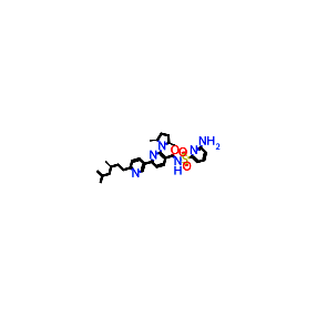 CC(C)C[C@@H](C)CCc1ccc(-c2ccc(C(=O)NS(=O)(=O)c3cccc(N)n3)c(N3[C@H](C)CC[C@@H]3C)n2)cn1